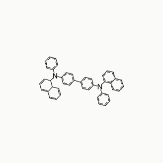 C1=CC2=CC=CC(N(c3ccccc3)c3ccc(-c4ccc(N(c5ccccc5)c5cccc6ccccc56)cc4)cc3)C2C=C1